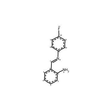 Nc1ccccc1C=Nc1ccc(F)cc1